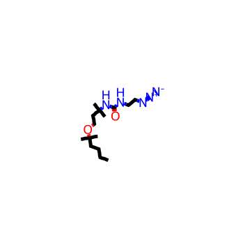 CCCCC(C)(C)OCCC(C)(C)NC(=O)NCCN=[N+]=[N-]